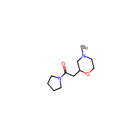 CC(C)(C)N1CCOC(CC(=O)N2CCCC2)C1